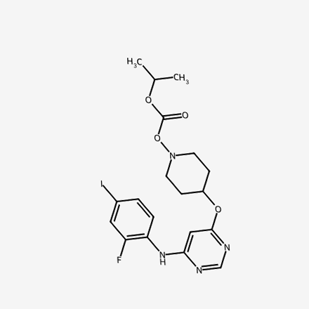 CC(C)OC(=O)ON1CCC(Oc2cc(Nc3ccc(I)cc3F)ncn2)CC1